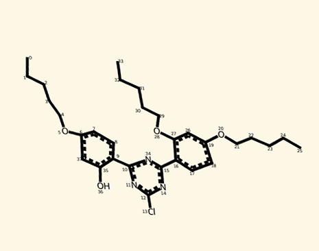 CCCCCOc1ccc(-c2nc(Cl)nc(-c3ccc(OCCCCC)cc3OCCCCC)n2)c(O)c1